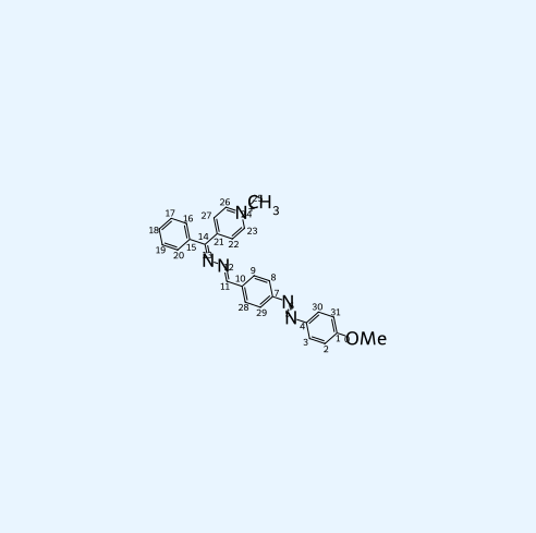 COc1ccc(/N=N/c2ccc(/C=N/N=C(/c3ccccc3)c3cc[n+](C)cc3)cc2)cc1